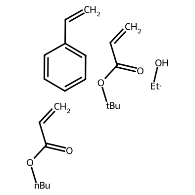 C=CC(=O)OC(C)(C)C.C=CC(=O)OCCCC.C=Cc1ccccc1.C[CH]O